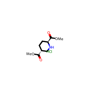 COC(=O)[C@@H]1CC[C@@H](C(=O)OC)NC1.Cl